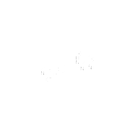 FC(F)(F)c1ncccc1Oc1ccc(CCNc2ncnc3scc(Cl)c23)cc1